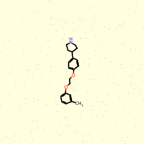 Cc1cccc(OCCOc2ccc(C3CCNCC3)cc2)c1